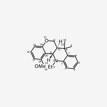 CCN1c2ccccc2C(C)(C)[C@@H]2COc3cccc(OC)c3[C@H]21